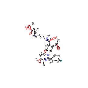 COc1ccc2c(O[C@H]3CC(C(=O)N(C)CCCC/C=C\[C@@H]4C[C@]4(C)C(=O)O)[C@H](C(C)=O)C3)nc(-c3ccc(F)cc3)nc2c1C